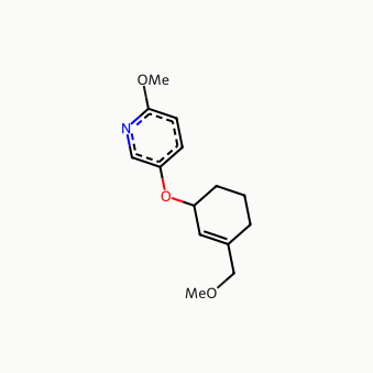 COCC1=CC(Oc2ccc(OC)nc2)CCC1